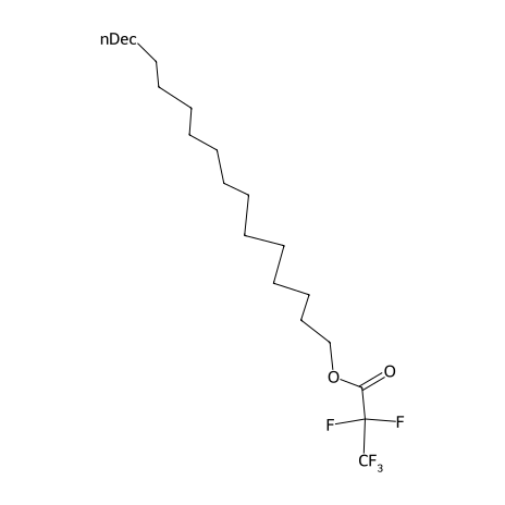 CCCCCCCCCCCCCCCCCCCCCCCOC(=O)C(F)(F)C(F)(F)F